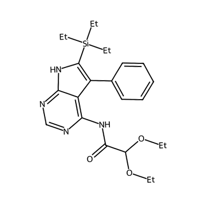 CCOC(OCC)C(=O)Nc1ncnc2[nH]c([Si](CC)(CC)CC)c(-c3ccccc3)c12